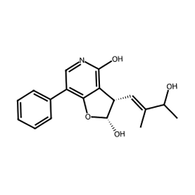 C/C(=C\[C@H]1c2c(O)ncc(-c3ccccc3)c2O[C@H]1O)C(C)O